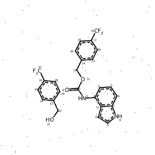 O=C(Nc1cccc2[nH]ccc12)OCc1ccc(C(F)(F)F)cc1.OCc1ccc(C(F)(F)F)cc1